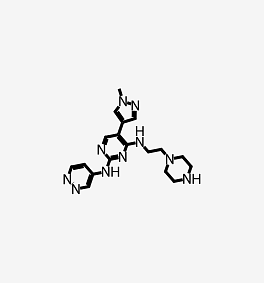 Cn1cc(-c2cnc(Nc3ccnnc3)nc2NCCN2CCNCC2)cn1